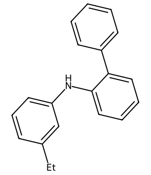 CCc1cccc(Nc2ccccc2-c2ccccc2)c1